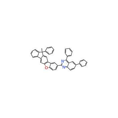 CC1(c2ccccc2)c2ccccc2-c2cc3oc4ccc(-c5nc(-c6ccccc6)c6cc(-c7ccccc7)ccc6n5)cc4c3cc21